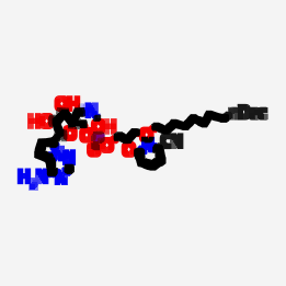 CCCCCCCCCCCCCCCCCCOCC(COP(=O)(O)OC[C@@]1(/C=N\C)O[C@@H](c2ccc3c(N)ncnn23)[C@H](O)[C@@H]1O)Oc1cccc(C#N)n1